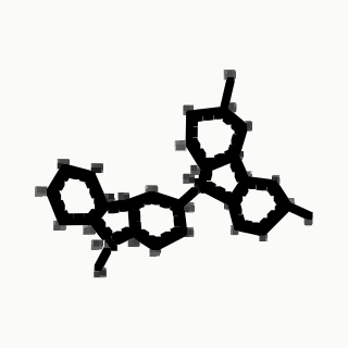 Cc1ccc2c(c1)c1cc(C)ccc1n2-c1ccc2c(c1)c1ccccc1n2C